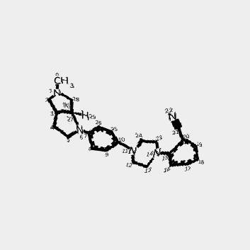 CN1CC2CCN(c3ccc(N4CCN(c5ccccc5C#N)CC4)cc3)[C@H]2C1